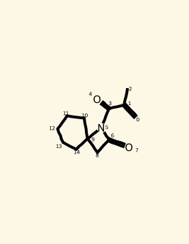 C=C(C)C(=O)N1C(=O)CC12CCCCC2